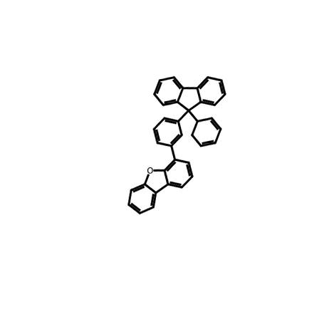 C1=CCC(C2(c3cccc(-c4cccc5c4oc4ccccc45)c3)c3ccccc3-c3ccccc32)C=C1